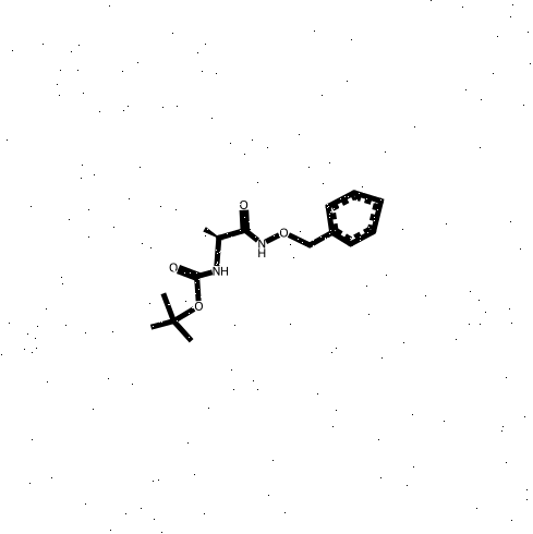 C[C@H](NC(=O)OC(C)(C)C)C(=O)NOCc1ccccc1